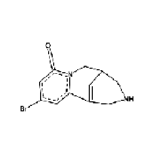 O=c1cc(Br)cc2n1CC1C=C2CNC1